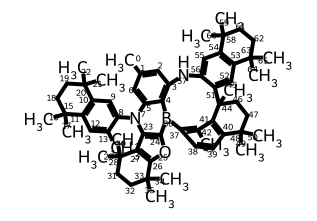 Cc1cc2c3c(c1)N(c1cc4c(cc1C)C(C)(C)CCC4(C)C)c1c(oc4c1C(C)(C)CCC4(C)C)B3c1ccc3c(c1C)C(C)(CCC3(C)C)c1cc3c(cc1N2)C(C)(C)CCC3(C)C